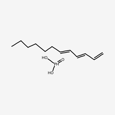 C=CC=CC=CCCCCCC.O=[PH](O)O